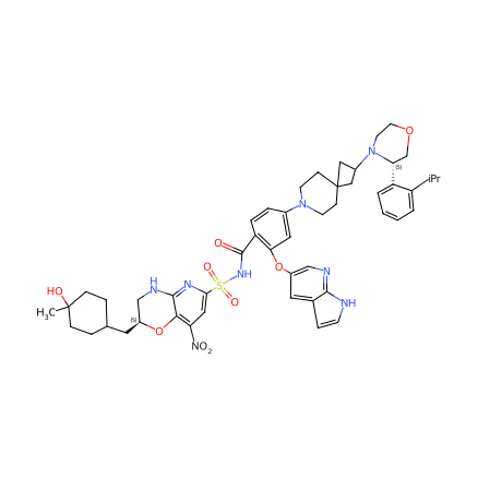 CC(C)c1ccccc1[C@H]1COCCN1C1CC2(CCN(c3ccc(C(=O)NS(=O)(=O)c4cc([N+](=O)[O-])c5c(n4)NC[C@H](CC4CCC(C)(O)CC4)O5)c(Oc4cnc5[nH]ccc5c4)c3)CC2)C1